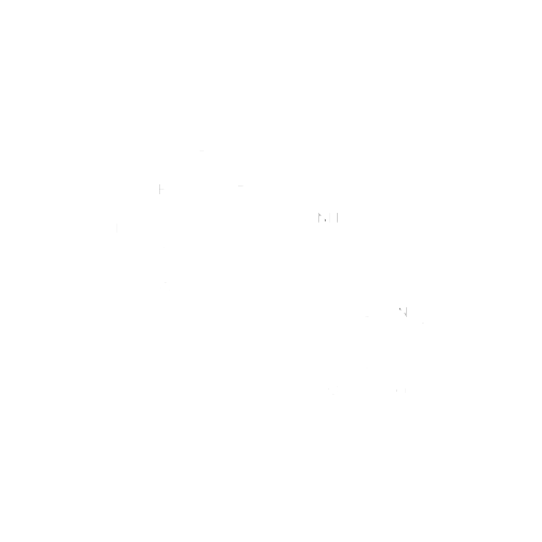 N=S(=O)(CCC(C(=O)O)C(F)(F)F)CC[C@H](N)C(=O)O